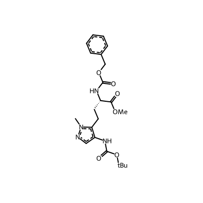 COC(=O)[C@H](CCc1c(NC(=O)OC(C)(C)C)cnn1C)NC(=O)OCc1ccccc1